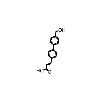 O=C(O)C=Cc1ccc(-c2ccc(CO)cc2)cc1